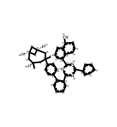 C[C@@H]1CC(C)(c2ccc(-c3ccccc3-c3nc(-c4ccccc4)nc(-c4cccc5c(C#N)cccc45)n3)cc2)C[C@H]2C[C@@H](C1)C2